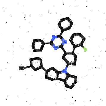 N#Cc1cccc(-c2ccc3c4ccccc4n(-c4ccc(-c5ccccc5F)c(-c5nc(-c6ccccc6)nc(-c6ccccc6)n5)c4)c3c2)c1